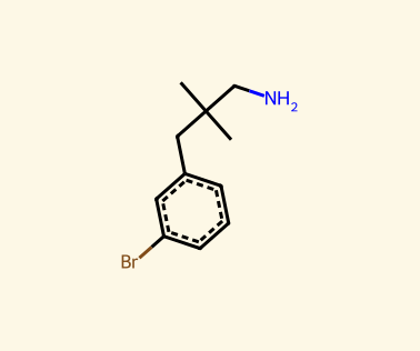 CC(C)(CN)Cc1cccc(Br)c1